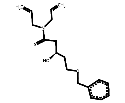 C=CCN(CC=C)C(=S)C[C@H](O)CCOCc1ccccc1